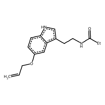 C=CCOc1ccc2[nH]cc(CCNC(=O)CC)c2c1